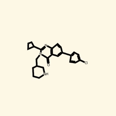 O=c1c2cc(-c3ccc(Cl)cc3)ccc2nc(C2CCC2)n1CC1CCCNC1